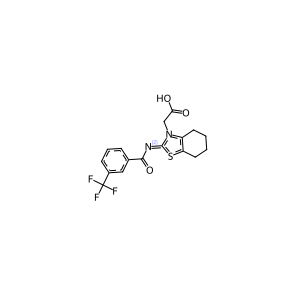 O=C(O)Cn1c2c(s/c1=N\C(=O)c1cccc(C(F)(F)F)c1)CCCC2